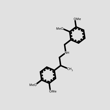 COc1ccc(C(C)CNCc2cccc(OC)c2OC)cc1OC